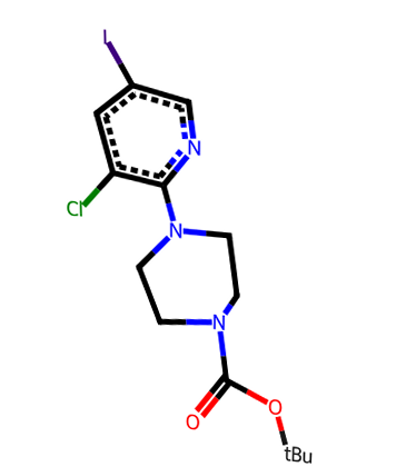 CC(C)(C)OC(=O)N1CCN(c2ncc(I)cc2Cl)CC1